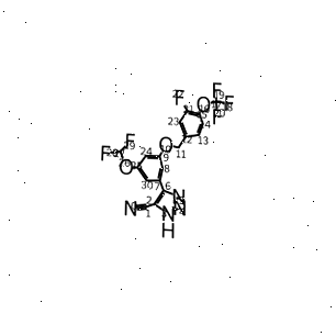 N#Cc1[nH]nnc1-c1cc(OCc2ccc(OC(F)(F)F)c(F)c2)cc(OC(F)F)c1